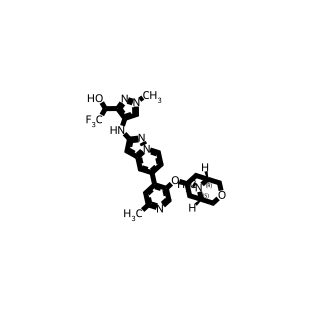 Cc1cc(-c2ccn3nc(Nc4cn(C)nc4C(O)C(F)(F)F)cc3c2)c(OC2C[C@H]3COC[C@@H](C2)N3C)cn1